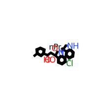 CCCC1(N2C(=O)C(O)(CC(=O)c3cccc(C)c3)c3ccccc32)CNc2ccc(Cl)cc21